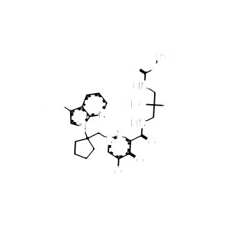 Cc1cn(C2(Cn3cc(O)c(=O)c(C(=O)NCC(C)(C)CNC(=O)OC(C)(C)C)n3)CCCC2)c2ncccc12